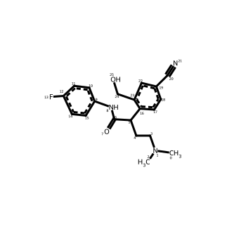 CN(C)CCC(C(=O)Nc1ccc(F)cc1)c1ccc(C#N)cc1CO